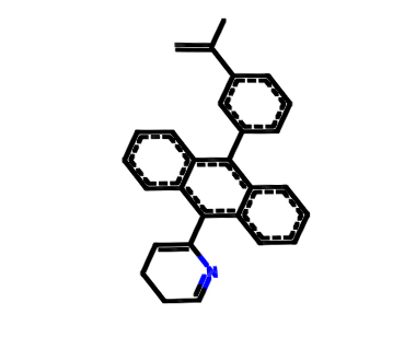 C=C(C)c1cccc(-c2c3ccccc3c(C3=CCCC=N3)c3ccccc23)c1